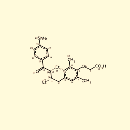 CC[C@@H](Cc1cc(C)c(OCC(=O)O)c(C)c1)[C@@H](CC)C(=O)c1ccc(SC)cc1